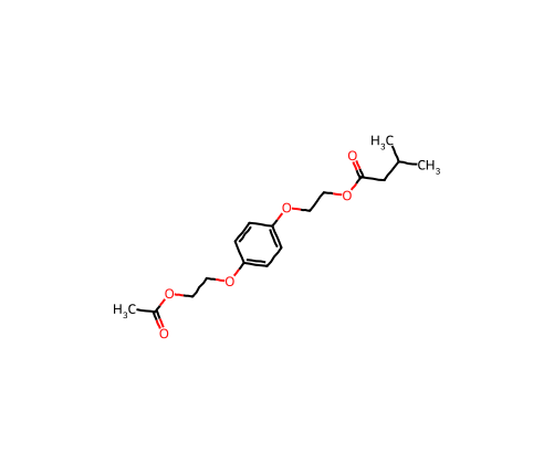 CC(=O)OCCOc1ccc(OCCOC(=O)CC(C)C)cc1